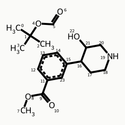 CC(C)(C)OC=O.COC(=O)c1cccc(C2CCNCC2O)c1